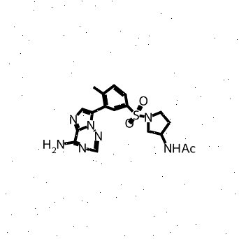 CC(=O)NC1CCN(S(=O)(=O)c2ccc(C)c(-c3cnc4c(N)ncnn34)c2)C1